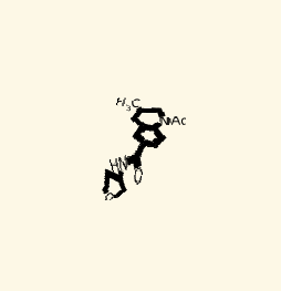 CC(=O)N1CC(C)Cc2cc(C(=O)NC3CCOCC3)ccc21